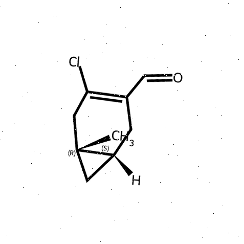 C[C@@]12CC(Cl)=C(C=O)C[C@@H]1C2